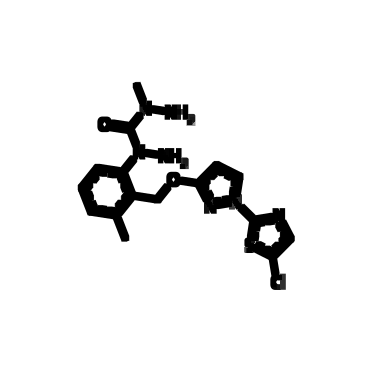 Cc1cccc(N(N)C(=O)N(C)N)c1COc1ccn(-c2ncc(Cl)s2)n1